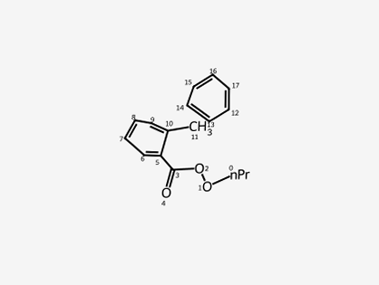 CCCOOC(=O)c1ccccc1C.c1ccccc1